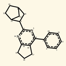 c1ccc(-c2nc(C3CC4CCC3C4)nc3c2CCC3)cc1